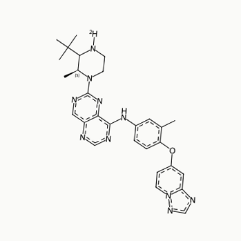 [2H]N1CCN(c2ncc3ncnc(Nc4ccc(Oc5ccn6ncnc6c5)c(C)c4)c3n2)[C@@H](C)C1C(C)(C)C